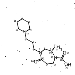 C[C@@H]1CN(CCCN2CCCCC2)C(=O)CCN1C(=O)O